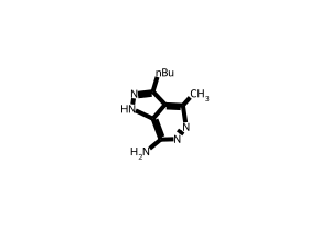 CCCCc1n[nH]c2c(N)nnc(C)c12